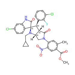 COC(=O)c1cc([N+](=O)[O-])c(N2C[C@H]3[C@@H](C2=O)[C@H](c2cccc(Cl)c2F)[C@]2(C(=O)Nc4cc(Cl)ccc42)N3CC2CC2)cc1C